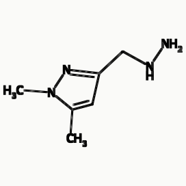 Cc1cc(CNN)nn1C